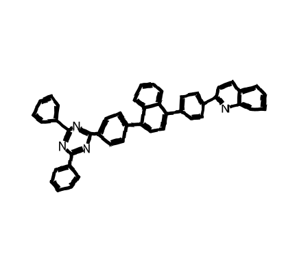 c1ccc(-c2nc(-c3ccccc3)nc(-c3ccc(-c4ccc(-c5ccc(-c6ccc7ccccc7n6)cc5)c5ccccc45)cc3)n2)cc1